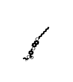 CCCCCCCCCCOc1ccc2cc(OCc3ccc(C(=O)OC[C@H](C)CC)cc3)ccc2c1